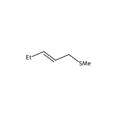 CCC=CCSC